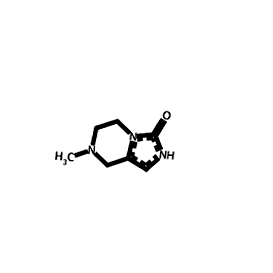 CN1CCn2c(c[nH]c2=O)C1